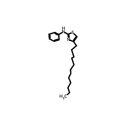 CCCCCCCCCCCCc1csc(Nc2ccccc2)n1